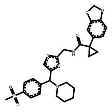 CS(=O)(=O)c1ccc(C(c2cnc(CNC(=O)C3(c4ccc5c(c4)OCO5)CC3)s2)N2CCCCC2)cc1